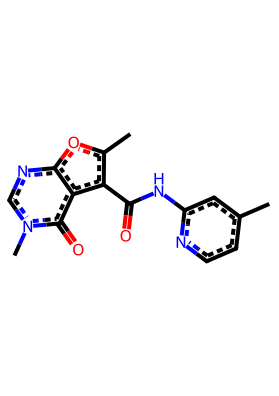 Cc1ccnc(NC(=O)c2c(C)oc3ncn(C)c(=O)c23)c1